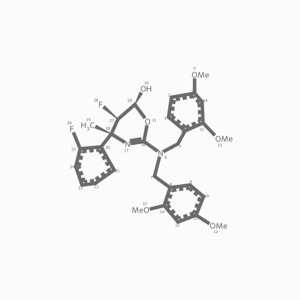 COc1ccc(CN(Cc2ccc(OC)cc2OC)C2=N[C@](C)(c3ccccc3F)[C@@H](F)[C@@H](O)O2)c(OC)c1